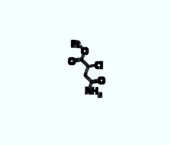 CCOC(=O)C(Cl)CC(N)=O